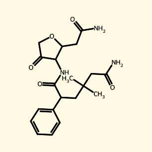 CC(C)(CC(N)=O)CC(C(=O)NC1C(=O)COC1CC(N)=O)c1ccccc1